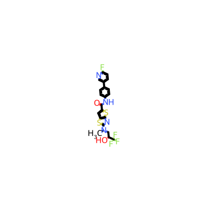 CN(CC(O)C(F)(F)F)c1nc2sc(C(=O)Nc3ccc(-c4ccc(F)nc4)cc3)cc2s1